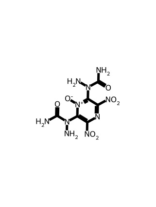 NC(=O)N(N)c1c([N+](=O)[O-])nc([N+](=O)[O-])c(N(N)C(N)=O)[n+]1[O-]